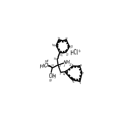 Cl.NC(Cc1ccccc1)(Cc1ccccc1)C(O)O